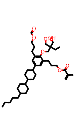 C=C(C)C(=O)OCCCc1cc(C2CCC(C3CCC(CCCCC)CC3)CC2)cc(CCCOC=O)c1OCC(CC)(CO)CO